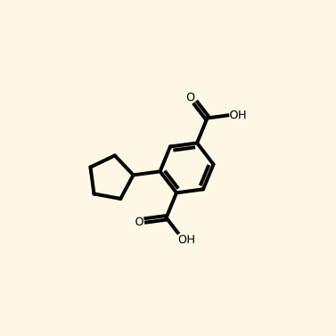 O=C(O)c1ccc(C(=O)O)c(C2CCCC2)c1